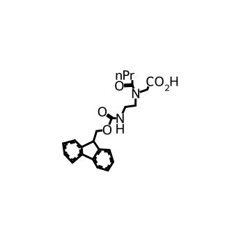 CCCC(=O)N(CCNC(=O)OCC1c2ccccc2-c2ccccc21)CC(=O)O